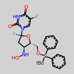 CC(C)(C)[Si](OC[C@H]1O[C@@](F)(n2cc(F)c(=O)[nH]c2=O)C[C@@H]1NO)(c1ccccc1)c1ccccc1